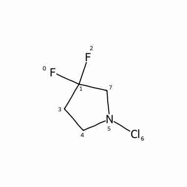 FC1(F)CCN(Cl)C1